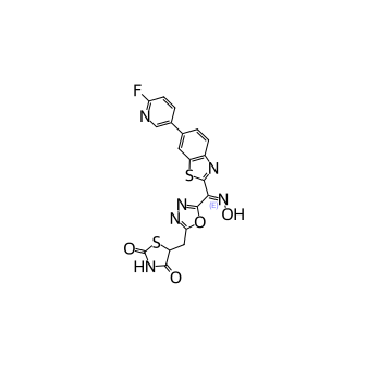 O=C1NC(=O)C(Cc2nnc(/C(=N\O)c3nc4ccc(-c5ccc(F)nc5)cc4s3)o2)S1